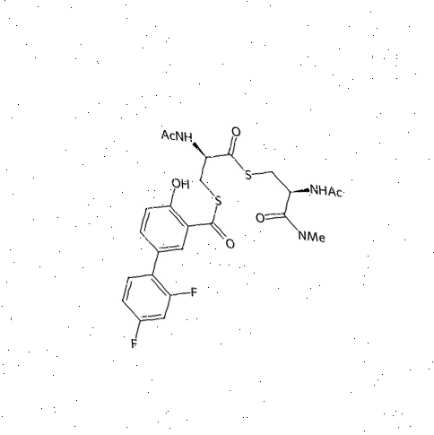 CNC(=O)[C@@H](CSC(=O)[C@@H](CSC(=O)c1cc(-c2ccc(F)cc2F)ccc1O)NC(C)=O)NC(C)=O